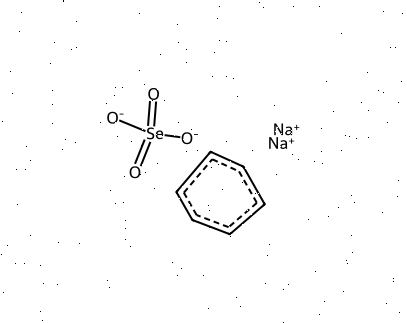 O=[Se](=O)([O-])[O-].[Na+].[Na+].c1ccccc1